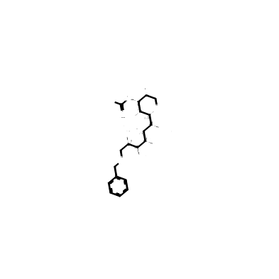 CCC(=O)N[C@@H]1[C@H](C)[C@H]([C@@H](C)[C@@H](OC(C)=O)[C@@H](C)[C@@H](OC(C)=O)[C@H](C)COCc2ccccc2)OC[C@H]1C